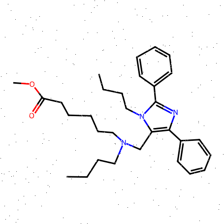 CCCCN(CCCCCC(=O)OC)Cc1c(-c2ccccc2)nc(-c2ccccc2)n1CCCC